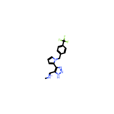 C/N=C/c1[nH]nnc1-c1cccn1Cc1ccc(C(F)(F)F)cc1